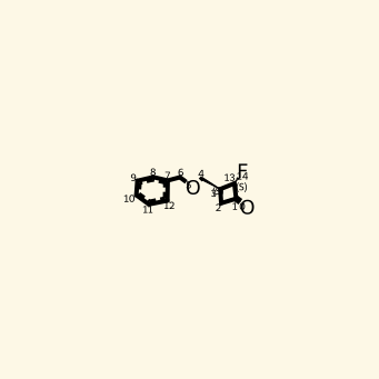 O=C1C[C@@H](COCc2ccccc2)[C@@H]1F